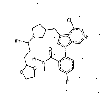 CC(C)C(CCC1OCCO1)N1CC[C@@H](Cc2cn(-c3ccc(F)cc3C(=O)N(C)C(C)C)c3cncc(Cl)c23)C1